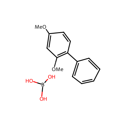 COc1ccc(-c2ccccc2)c(OC)c1.OB(O)O